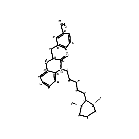 C[C@@H]1CCC[C@H](C)N1CCCCCN1C(=O)C(Cc2cccc(N)c2)Oc2ccccc21